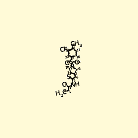 C=CC(=O)Nc1cc2c(s1)CN(S(=O)(=O)c1ccc(C)c(Cl)c1)C2